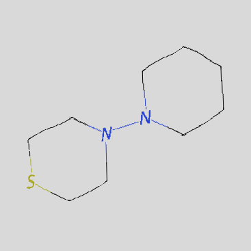 C1CCN(N2CCSCC2)CC1